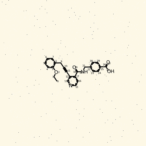 CCOc1ccccc1CC#Cc1cnccc1C(=O)NCc1ccc(C(=O)O)cc1